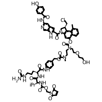 Cc1cccc2c(OC(=O)N(CCOCCO)CCN(C)C(=O)OCc3ccc(NC(=O)[C@H](CCCNC(N)=O)NC(=O)[C@@H](NC(=O)OCN4C(=O)C=CC4=O)C(C)C)cc3)cc3c(c12)[C@H](CCl)CN3C(=O)c1cc2cc(NC(=O)c3ccc(O)cc3)ncc2[nH]1